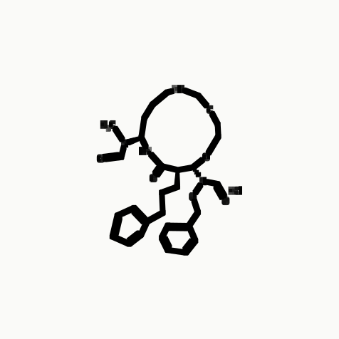 CN(C=O)[C@H]1CCCNCCCCO[C@H](N(C=O)OCc2ccccc2)[C@@H](CCCc2ccccc2)C(=O)N1.Cl